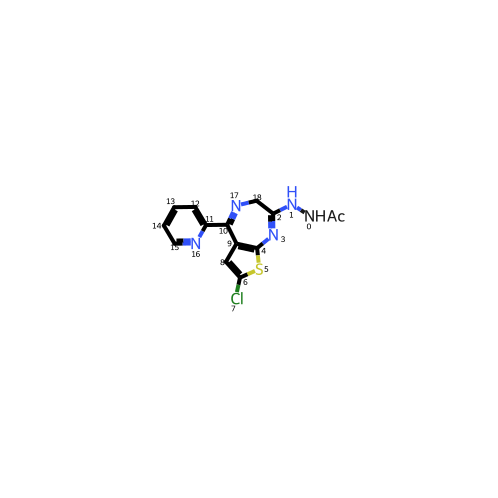 CC(=O)NNC1=Nc2sc(Cl)cc2C(c2ccccn2)=NC1